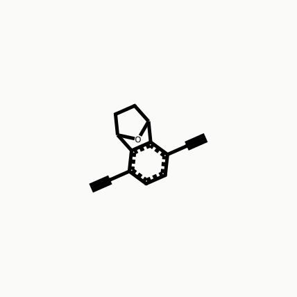 C#Cc1ccc(C#C)c2c1C1CCC2O1